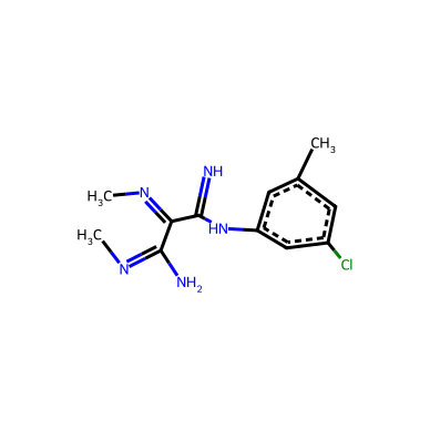 C/N=C(C(=N)Nc1cc(C)cc(Cl)c1)\C(N)=N/C